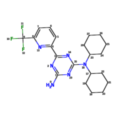 Nc1nc(-c2cccc(C(F)(F)F)n2)nc(N(C2CCCCC2)C2CCCCC2)n1